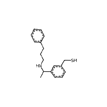 CC(NCCCc1ccccc1)c1cccc(CS)c1